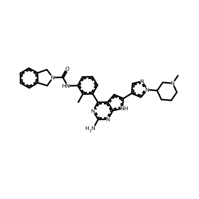 Cc1c(NC(=O)N2Cc3ccccc3C2)cccc1-c1nc(N)nc2[nH]c(-c3cnn(C4CCCN(C)C4)c3)cc12